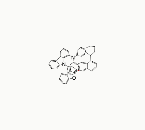 c1ccc(-n2c3ccccc3c3cccc(N(c4ccc5oc6ccccc6c5c4)c4ccccc4-c4cccc5cccc(C6CCCCC6)c45)c32)cc1